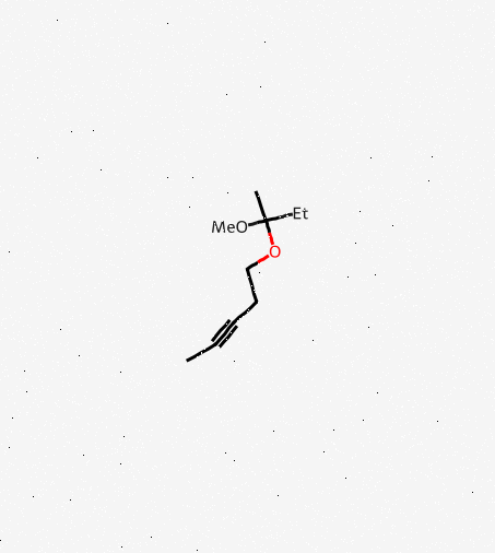 CC#CCCOC(C)(CC)OC